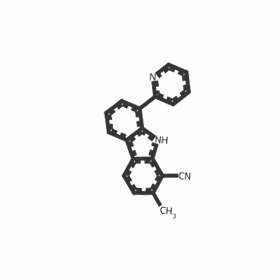 Cc1ccc2c([nH]c3c(-c4ccccn4)cccc32)c1C#N